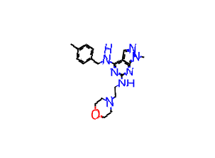 Cc1ccc(CNc2nc(NCCN3CCOCC3)nc3c2cnn3C)cc1